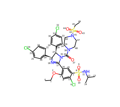 CCOc1cc(Cl)c(S(=O)(=O)NC(C)C)cc1C1=N[C@@H](c2ccc(Cl)cc2)[C@@H](c2ccc(Cl)cc2)N1C(=O)N1CCN(S(=O)(=O)CC)CC1